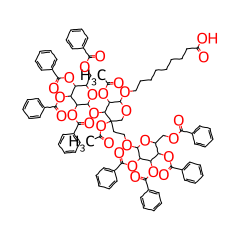 CC(=O)OC1C(OCCCCCCCCC(=O)O)OCC(CCOC2OC(COC(=O)c3ccccc3)C(OC(=O)c3ccccc3)C(OC(=O)c3ccccc3)C2OC(=O)c2ccccc2)(OC(C)=O)C1OC1OC(COC(=O)c2ccccc2)C(OC(=O)c2ccccc2)C(OC(=O)c2ccccc2)C1OC(=O)c1ccccc1